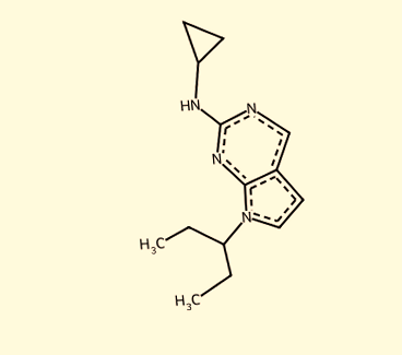 CCC(CC)n1ccc2cnc(NC3CC3)nc21